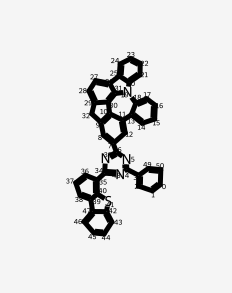 c1ccc(-c2nc(-c3cc4c5c(c3)-c3ccccc3-n3c6ccccc6c6ccc(c-5c63)C4)nc(-c3cccc4c3sc3ccccc34)n2)cc1